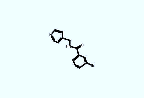 O=C(NCc1ccncc1)c1cccc(Br)c1